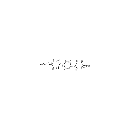 CCCCC[C@H]1CO[C@H](c2ccc(C3CC=C(F)CC3)cc2)OC1